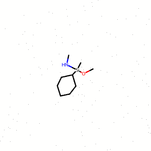 CN[Si](C)(OC)C1CCCCC1